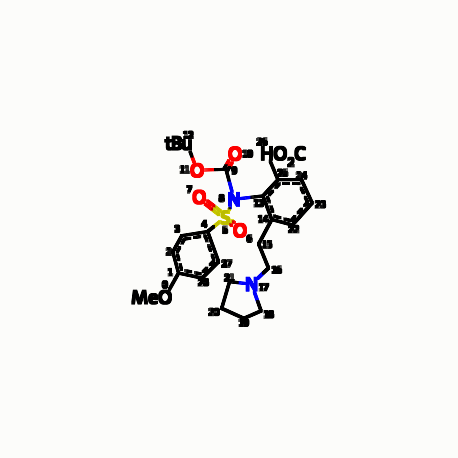 COc1ccc(S(=O)(=O)N(C(=O)OC(C)(C)C)c2c(CCN3CCCC3)cccc2C(=O)O)cc1